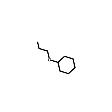 ICCOC1CCCCC1